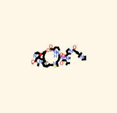 CCn1c(-c2cccnc2[C@H](C)OC)c2c3cc(ccc31)-c1nc(cs1)C[C@H](NC(=O)[C@H](C(C)C)N(C)C(=O)C1CCN(C(=O)C#CC(C)(C)N3CCC3)C1)C(=O)N1CCC[C@H](N1)C(=O)OCC(C)(C)C2